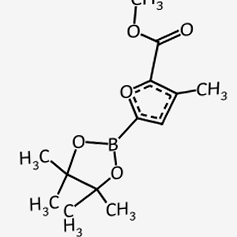 COC(=O)c1oc(B2OC(C)(C)C(C)(C)O2)cc1C